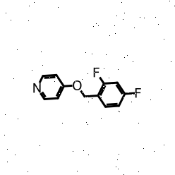 Fc1ccc(COc2ccncc2)c(F)c1